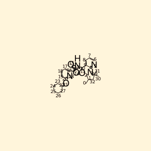 CC1CN(c2ncccc2C(=O)NS(=O)(=O)c2cccc(OC3CCCCC3)n2)C(C)(C)C1